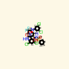 C[C@H](C(=O)N(C)c1cc(Cl)cc(Cl)c1)[C@H](C(=O)NS(=O)(=O)c1ccccc1)[C@]1(N2CCC(F)(F)C2)C(=O)Nc2c(Cl)cc(Cl)cc21